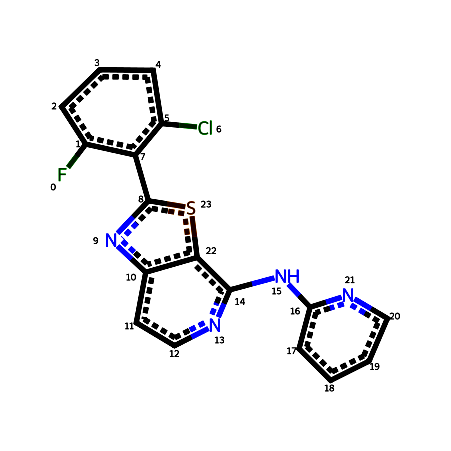 Fc1cccc(Cl)c1-c1nc2ccnc(Nc3ccccn3)c2s1